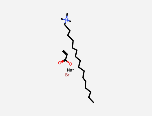 C=CC(=O)[O-].CCCCCCCCCCCCCCCC[N+](C)(C)C.[Br-].[Na+]